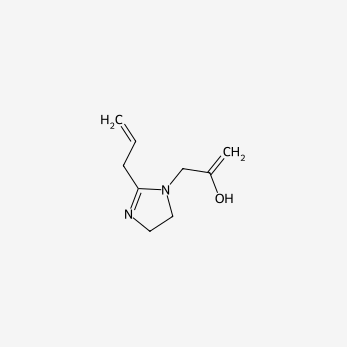 C=CCC1=NCCN1CC(=C)O